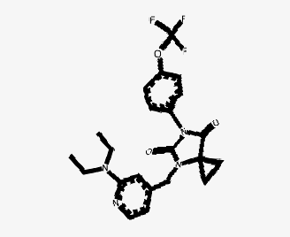 CCN(CC)c1cc(CN2C(=O)N(c3ccc(OC(F)(F)F)cc3)C(=O)C23CC3)ccn1